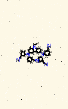 CCn1c2ccc(N(c3cccc(C#N)c3)c3cccc(C#N)c3)cc2c2cc(N(c3cccc(C#N)c3)c3cccc(C#N)c3)ccc21